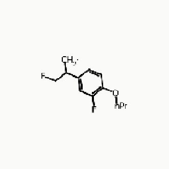 [CH2]C(CF)c1ccc(OCCC)c(F)c1